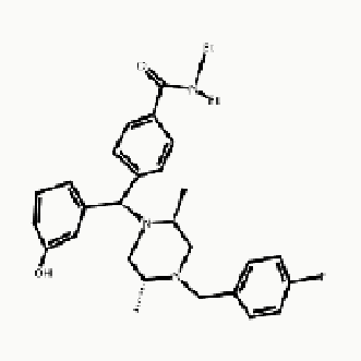 CCN(CC)C(=O)c1ccc([C@H](c2cccc(O)c2)N2C[C@@H](C)N(Cc3ccc(F)cc3)C[C@@H]2C)cc1